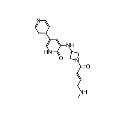 CNCC=CC(=O)N1CC(Nc2cc(-c3ccncc3)c[nH]c2=O)C1